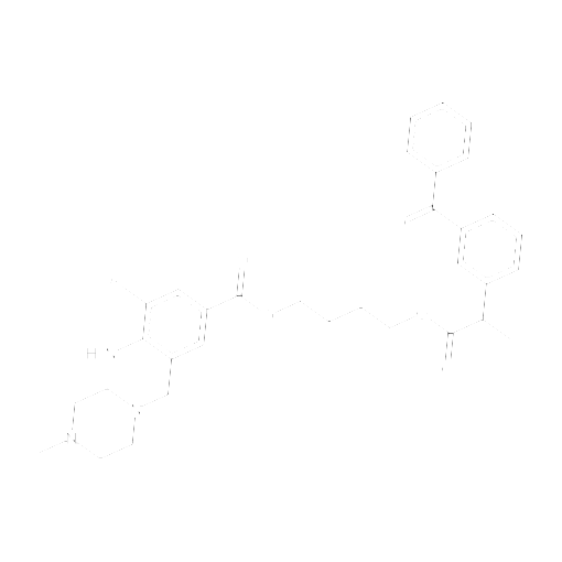 CC(C(=O)OCCCCOC(=O)c1cc(Br)c(N)c(CN2CCN(C)CC2)c1)c1cccc(C(=O)c2ccccc2)c1